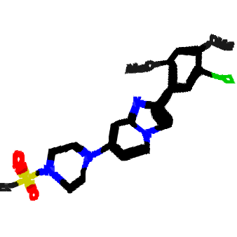 CCS(=O)(=O)N1CCN(c2ccn3cc(-c4cc(Cl)c(OC)cc4OC)nc3c2)CC1